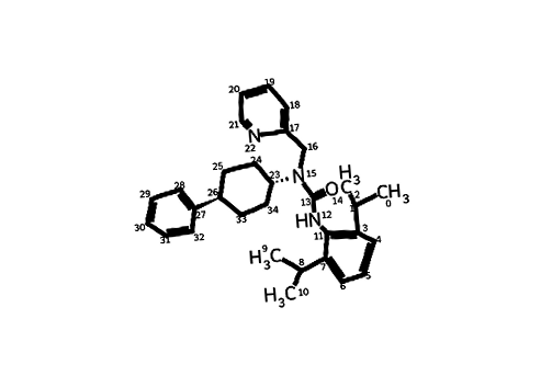 CC(C)c1cccc(C(C)C)c1NC(=O)N(Cc1ccccn1)[C@H]1CC[C@H](c2ccccc2)CC1